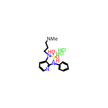 CNCCCN1c2cccnc2N(c2ccccc2)S1(O)O.Cl.Cl